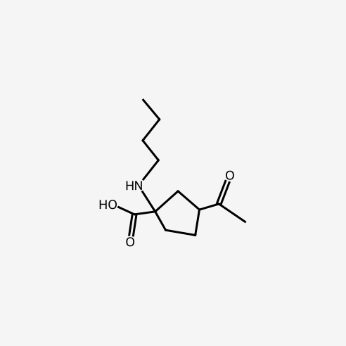 CCCCNC1(C(=O)O)CCC(C(C)=O)C1